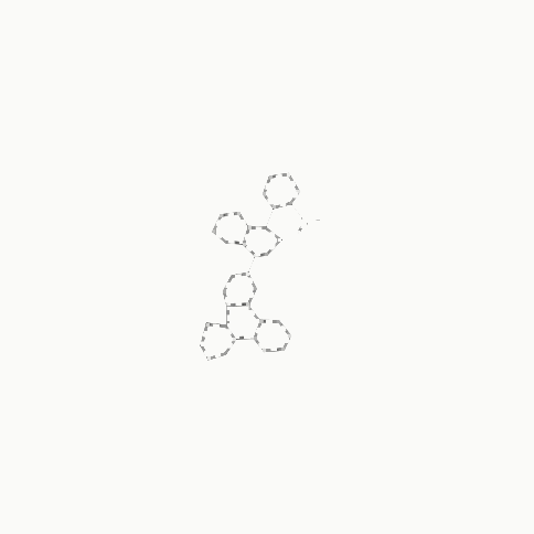 O=[N+]([O-])c1ccccc1-c1ccc(-c2ccc3c4ccccc4c4ccccc4c3c2)c2ccccc12